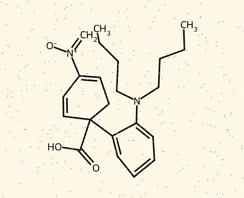 C=[N+]([O-])C1=CCC(C(=O)O)(c2ccccc2N(CCCC)CCCC)C=C1